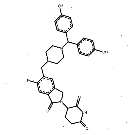 O=C1CCC(N2Cc3cc(CN4CCN(C(c5ccc(O)cc5)c5ccc(O)cc5)CC4)c(F)cc3C2=O)C(=O)N1